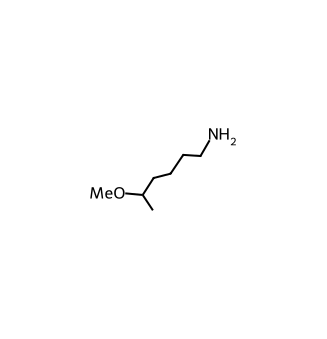 COC(C)CCCCN